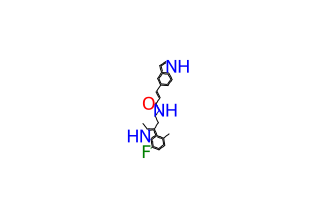 Cc1[nH]c2c(F)ccc(C)c2c1CCNC(=O)C=Cc1ccc2[nH]ccc2c1